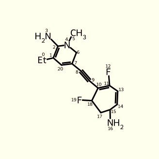 CCC1=C(N)N(C)CC(C#CC2=C(F)C=CC(N)CC2F)=C1